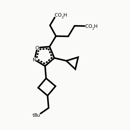 CC(C)(C)CC1CC(c2noc(C(CCC(=O)O)CC(=O)O)c2C2CC2)C1